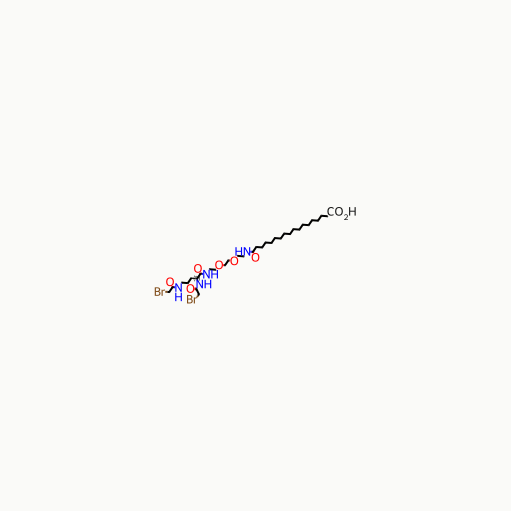 O=C(O)CCCCCCCCCCCCCCCCC(=O)NCCOCCOCCNC(=O)[C@H](CCCNC(=O)CBr)NC(=O)CBr